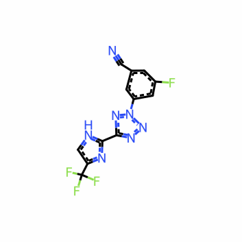 N#Cc1cc(F)cc(-n2nnc(-c3nc(C(F)(F)F)c[nH]3)n2)c1